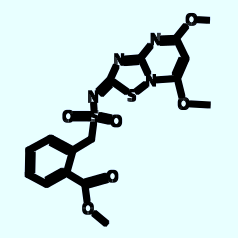 COC(=O)c1ccccc1CS(=O)(=O)/N=c1/nc2nc(OC)cc(OC)n2s1